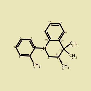 Cc1ccccc1N1C[C@H](C)C(C)(C)c2ccccc21